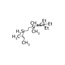 CC=C(C)[SiH2]CC[Si](C)(C)C#[C][Ge]([CH2]C)([CH2]C)[CH2]C